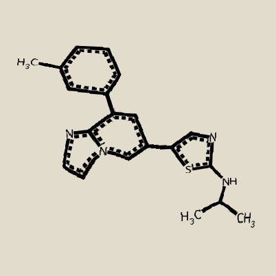 Cc1cccc(-c2cc(-c3cnc(NC(C)C)s3)cn3ccnc23)c1